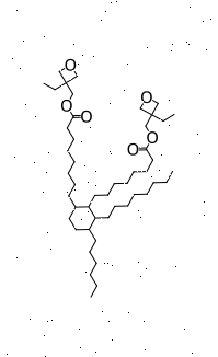 CCCCCCCCC1C(CCCCCC)CCC(CCCCCCCC(=O)OCC2(CC)COC2)C1CCCCCCCC(=O)OCC1(CC)COC1